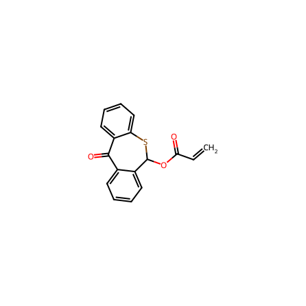 C=CC(=O)OC1Sc2ccccc2C(=O)c2ccccc21